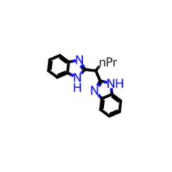 [CH2]CCC(c1nc2ccccc2[nH]1)c1nc2ccccc2[nH]1